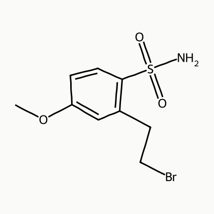 COc1ccc(S(N)(=O)=O)c(CCBr)c1